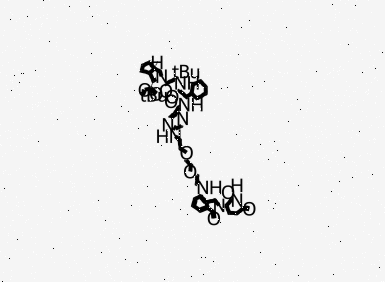 CC(C)(C)OC(=O)[C@@H]1C2CCC[C@H]2CN1C(=O)[C@@H](NC(=O)[C@@H](NC(=O)c1cnc(NCCOCCOCCNc2cccc3c2CN(C2CCC(=O)NC2=O)C3=O)cn1)C1CCCCC1)C(C)(C)C